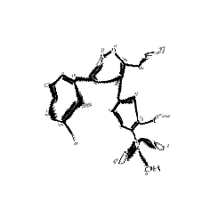 O=S(=O)(O)c1ccc(-c2c(-c3cccc(F)c3)noc2CF)cc1F